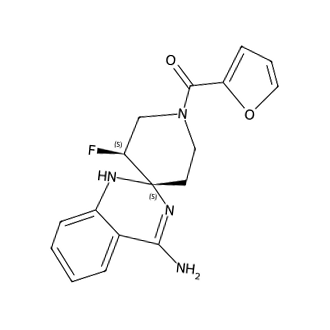 NC1=N[C@]2(CCN(C(=O)c3ccco3)C[C@@H]2F)Nc2ccccc21